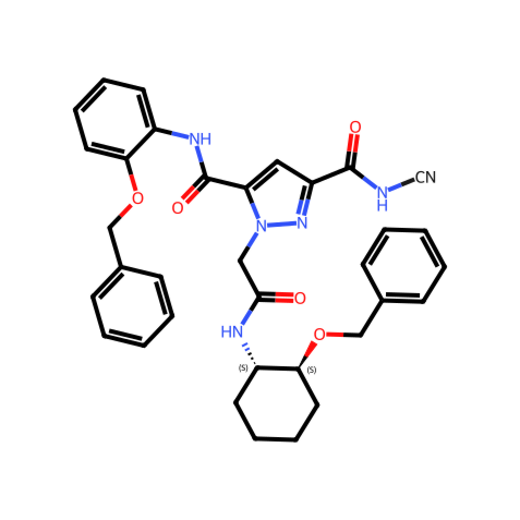 N#CNC(=O)c1cc(C(=O)Nc2ccccc2OCc2ccccc2)n(CC(=O)N[C@H]2CCCC[C@@H]2OCc2ccccc2)n1